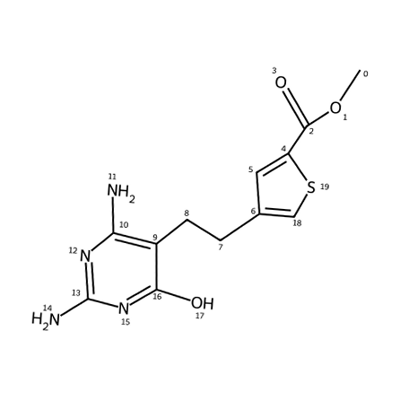 COC(=O)c1cc(CCc2c(N)nc(N)nc2O)cs1